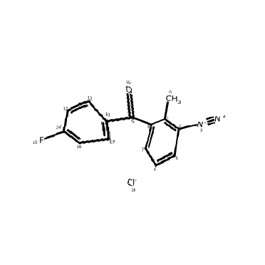 Cc1c([N+]#N)cccc1C(=O)c1ccc(F)cc1.[Cl-]